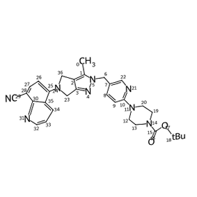 Cc1c2c(nn1Cc1ccc(N3CCN(C(=O)OC(C)(C)C)CC3)nc1)CN(c1ccc(C#N)c3ncccc13)C2